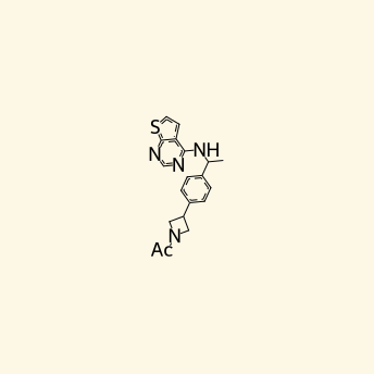 CC(=O)N1CC(c2ccc(C(C)Nc3ncnc4sccc34)cc2)C1